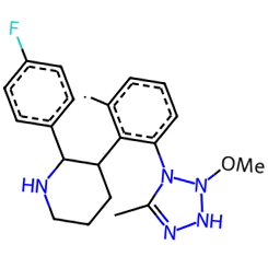 [CH2]c1cccc(N2C(C)=NNN2OC)c1C1CCCNC1c1ccc(F)cc1